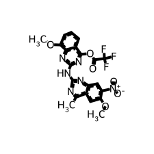 COc1cc2c(C)nc(Nc3nc(OC(=O)C(F)(F)F)c4cccc(OC)c4n3)nc2cc1[N+](=O)[O-]